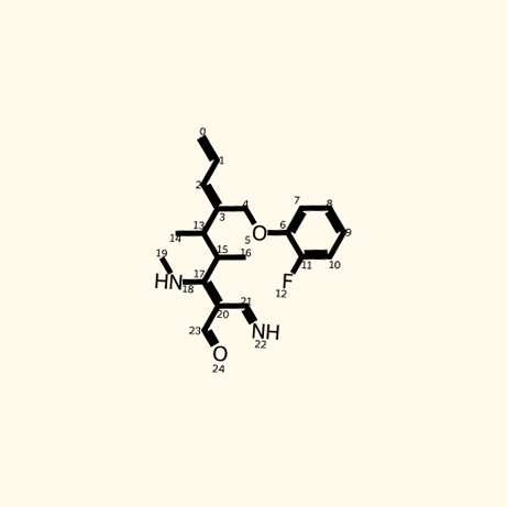 C=C/C=C(\COc1ccccc1F)C(C)C(C)/C(NC)=C(\C=N)C=O